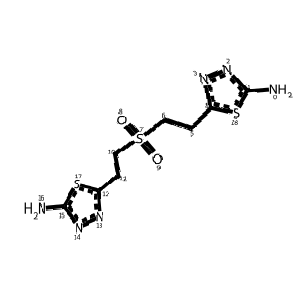 Nc1nnc(CCS(=O)(=O)CCc2nnc(N)s2)s1